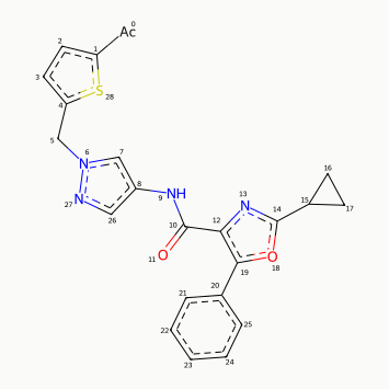 CC(=O)c1ccc(Cn2cc(NC(=O)c3nc(C4CC4)oc3-c3ccccc3)cn2)s1